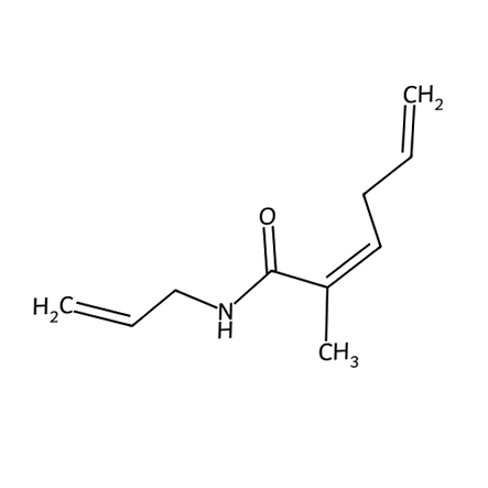 C=CCC=C(C)C(=O)NCC=C